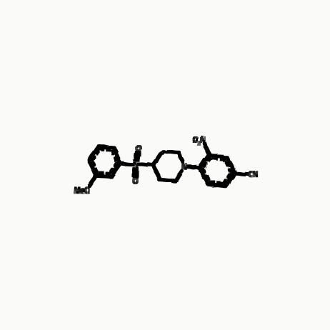 COc1cccc(S(=O)(=O)C2CCN(c3ccc(C#N)cc3[N+](=O)[O-])CC2)c1